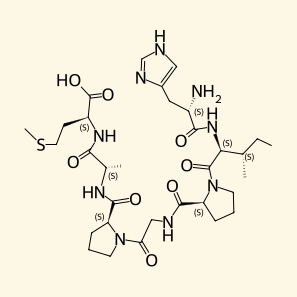 CC[C@H](C)[C@H](NC(=O)[C@@H](N)Cc1c[nH]cn1)C(=O)N1CCC[C@H]1C(=O)NCC(=O)N1CCC[C@H]1C(=O)N[C@@H](C)C(=O)N[C@@H](CCSC)C(=O)O